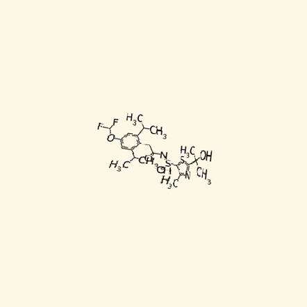 Cc1nc(C(C)(C)O)sc1[SH](=O)=NC(=O)Cc1c(C(C)C)cc(OC(F)F)cc1C(C)C